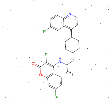 CC(C[C@H]1CC[C@H](c2ccnc3ccc(F)cc32)CC1)Nc1c(F)c(=O)oc2cc(Br)ccc12